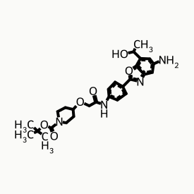 CC(O)c1cc(N)cc2nc(-c3ccc(NC(=O)COC4CCN(C(=O)OC(C)(C)C)CC4)cc3)oc12